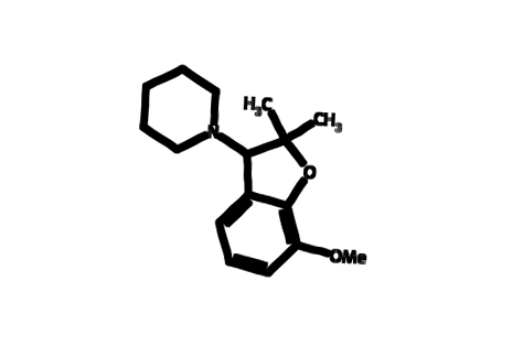 COc1cccc2c1OC(C)(C)C2N1CCCCC1